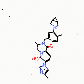 Cc1cn(C2=CC=C3C(=O)N(Cc4ccc(C)c(N5CC6CC6C5)c4)C(C)CN3C2O)cn1